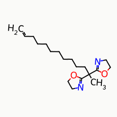 C=CCCCCCCCCCC(C)(C1=NCCO1)C1=NCCO1